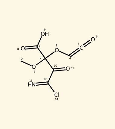 COC(OC=C=O)(C(=O)O)C(=O)C(=N)Cl